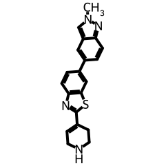 Cn1cc2cc(-c3ccc4nc(C5=CCNCC5)sc4c3)ccc2n1